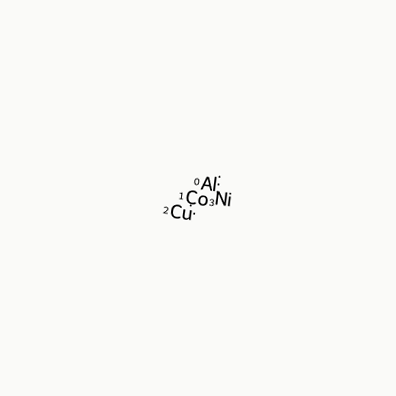 [Al].[Co].[Cu].[Ni]